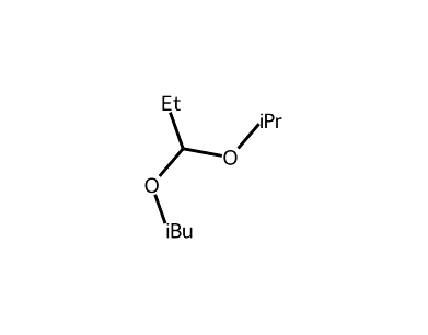 CCC(C)OC(CC)OC(C)C